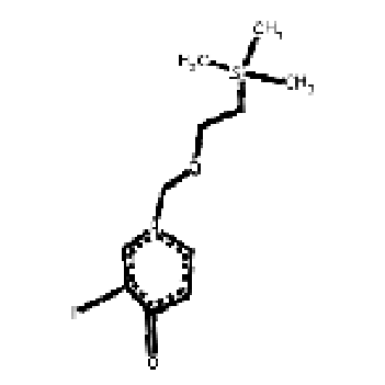 C[Si](C)(C)CCOCn1ccc(=O)c(I)c1